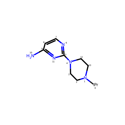 [CH2]C(C)N1CCN(c2nccc(N)n2)CC1